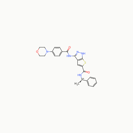 C[C@@H](NC(=O)c1cc2c(NC(=O)c3ccc(N4CCOCC4)cc3)n[nH]c2s1)c1ccccc1